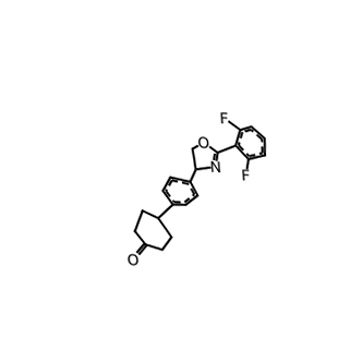 O=C1CCC(c2ccc(C3COC(c4c(F)cccc4F)=N3)cc2)CC1